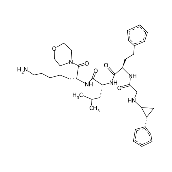 CC(C)C[C@@H](NC(=O)[C@@H](CCc1ccccc1)NC(=O)CNC1C[C@@H]1c1ccccc1)C(=O)N[C@H](CCCCCN)C(=O)N1CCOCC1